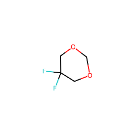 FC1(F)COCOC1